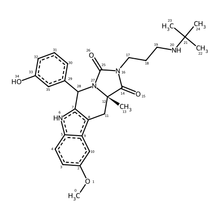 COc1ccc2[nH]c3c(c2c1)C[C@@]1(C)C(=O)N(CCCNC(C)(C)C)C(=O)N1C3c1cccc(O)c1